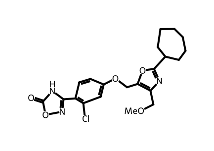 COCc1nc(C2CCCCCC2)oc1COc1ccc(-c2noc(=O)[nH]2)c(Cl)c1